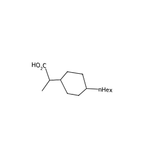 CCCCCCC1CCC(C(C)C(=O)O)CC1